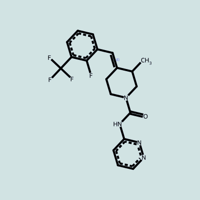 CC1CN(C(=O)Nc2cccnn2)CC/C1=C\c1cccc(C(F)(F)F)c1F